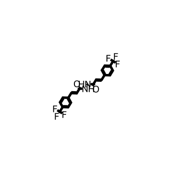 O=C(/C=C/c1ccc(C(F)(F)F)cc1)NNC(=O)/C=C/c1ccc(C(F)(F)F)cc1